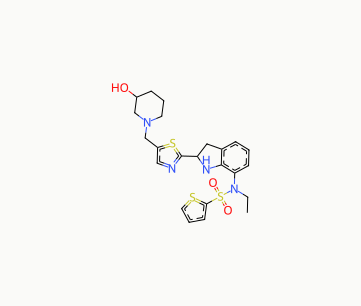 CCN(c1cccc2c1NC(c1ncc(CN3CCCC(O)C3)s1)C2)S(=O)(=O)c1cccs1